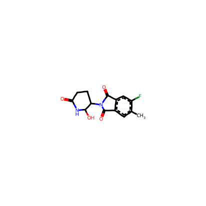 Cc1cc2c(cc1F)C(=O)N(C1CCC(=O)NC1O)C2=O